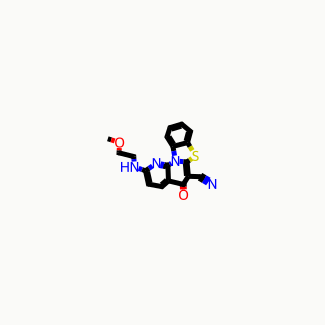 COCCNc1ccc2c(=O)c(C#N)c3sc4ccccc4n3c2n1